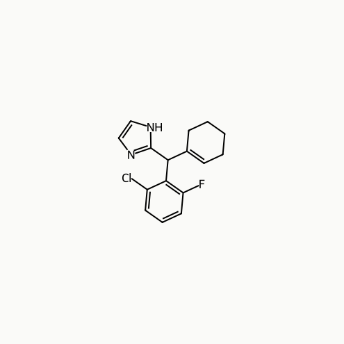 Fc1cccc(Cl)c1C(C1=CCCCC1)c1ncc[nH]1